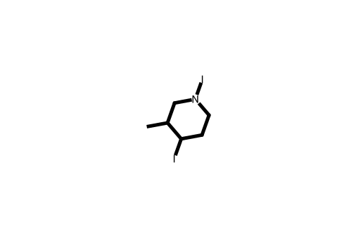 CC1CN(I)CCC1I